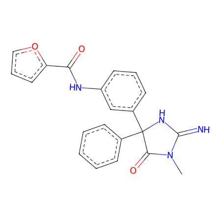 CN1C(=N)NC(c2ccccc2)(c2cccc(NC(=O)c3ccco3)c2)C1=O